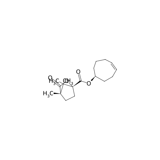 CC1(C)[C@@]2(C(=O)O[C@@H]3CC/C=C\CCC3)CC[C@]1(C)C(=O)O2